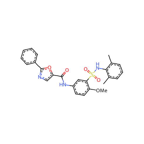 COc1ccc(NC(=O)c2cnc(-c3ccccc3)o2)cc1S(=O)(=O)Nc1c(C)cccc1C